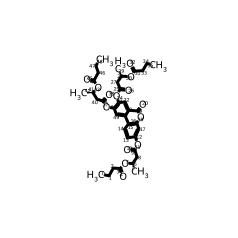 CCCC(=O)O[C@H](C)CC(=O)Oc1ccc2c(c1)oc(=O)c1cc(OC(=O)C[C@@H](C)OC(=O)CCC)c(OC(=O)C[C@@H](C)OC(=O)CCC)cc12